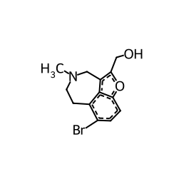 CN1CCc2c(Br)ccc3oc(CO)c(c23)C1